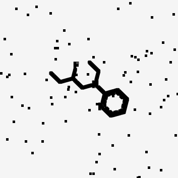 CCC(F)CN(CC)c1ccccn1